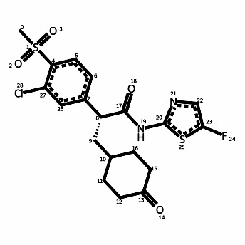 CS(=O)(=O)c1ccc([C@@H](CC2CCC(=O)CC2)C(=O)Nc2ncc(F)s2)cc1Cl